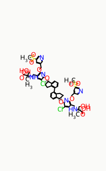 C[C@@](CO)(NCc1cc(Cl)c(O[C@H]2CCc3c(-c4cccc5c4CC[C@@H]5Oc4nc(OCc5cncc(S(C)(=O)=O)c5)c(CN[C@@](C)(CO)C(=O)O)cc4Cl)cccc32)nc1OCc1cncc(S(C)(=O)=O)c1)C(=O)O